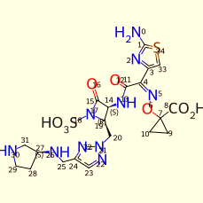 Nc1nc(C(=NOC2(C(=O)O)CC2)C(=O)N[C@@H]2C(=O)N(S(=O)(=O)O)[C@@H]2Cn2ncc(CN[C@H]3CCNC3)n2)cs1